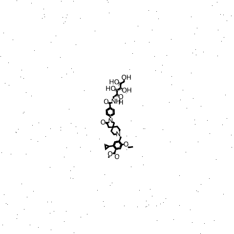 CCOc1cc(C(=O)OC)c(C2CC2)cc1CN1CCC2(CC1)CC(=O)N(c1ccc(C(=O)NC[C@H](O)[C@@H](O)[C@H](O)[C@H](O)CO)cc1)C2